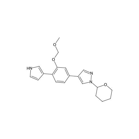 COCOc1cc(-c2cnn(C3CCCCO3)c2)ccc1-c1cc[nH]c1